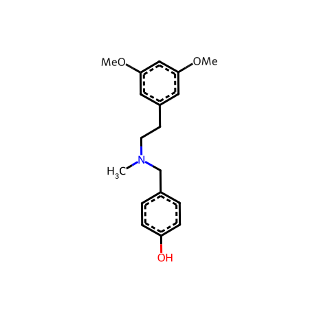 COc1cc(CCN(C)Cc2ccc(O)cc2)cc(OC)c1